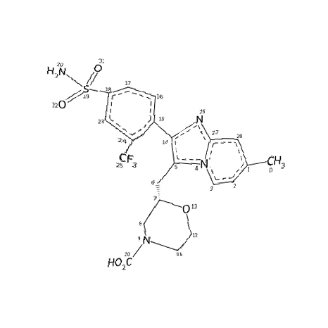 Cc1ccn2c(C[C@H]3CN(C(=O)O)CCO3)c(-c3ccc(S(N)(=O)=O)cc3C(F)(F)F)nc2c1